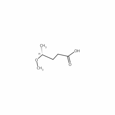 CO[C@H](C)CCC(=O)O